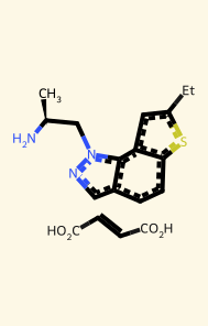 CCc1cc2c(ccc3cnn(C[C@H](C)N)c32)s1.O=C(O)/C=C/C(=O)O